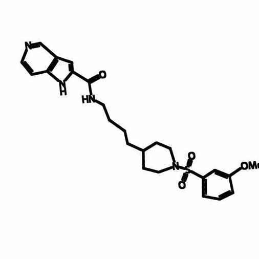 COc1cccc(S(=O)(=O)N2CCC(CCCCNC(=O)c3cc4cnccc4[nH]3)CC2)c1